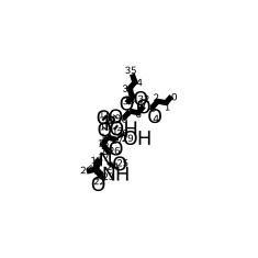 CCCC(=O)OCC(COP(=O)(O)OC1C[C@H](n2cc(C)c(=O)[nH]c2=O)O[C@@H]1CO)OC(=O)CCC